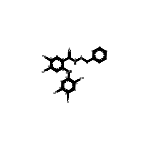 O=C(NOCc1ccccc1)c1cc(F)c(F)cc1Nc1cc(F)c(F)cc1F